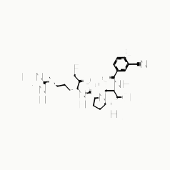 CC(C)[C@H](NC(=O)c1ccc(Cl)c(C#N)c1)C(=O)N1CCC[C@H]1C(=O)N[C@@H](CCCNC(=N)N)C(=O)CF